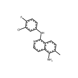 Cc1ccc2c(Nc3ccc(F)c(Cl)c3)nccc2c1N